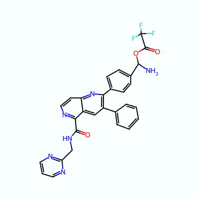 NC(OC(=O)C(F)(F)F)c1ccc(-c2nc3ccnc(C(=O)NCc4ncccn4)c3cc2-c2ccccc2)cc1